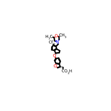 CC1CN(Cc2c(C(F)(F)F)ccc3c2CC[C@H]3Oc2ccc3c(c2)OC[C@H]3CC(=O)O)CC(C)O1